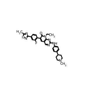 CCn1c(=O)c(-c2ccc(-c3noc(C)n3)cc2F)cc2cnc(Nc3ccc(C4CCN(C)CC4)cc3)nc21